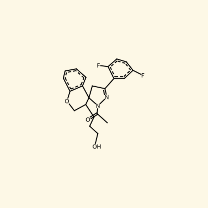 CC(=O)N1N=C(c2cc(F)ccc2F)CC12c1ccccc1OCC2CCCO